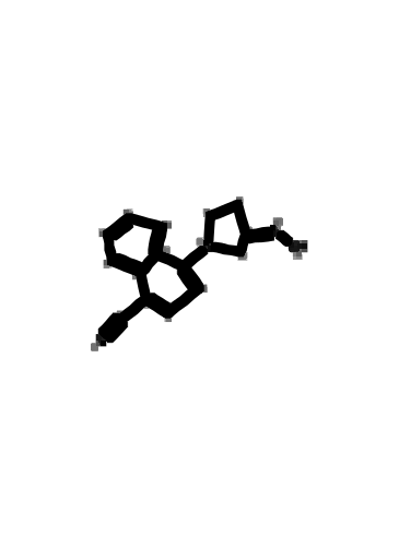 N#Cc1ccc(N2CCC(=NO)C2)c2ccccc12